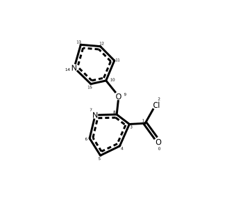 O=C(Cl)c1cccnc1Oc1cccnc1